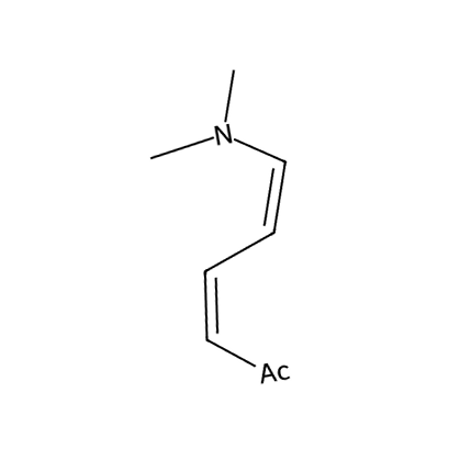 CC(=O)/C=C\C=C/N(C)C